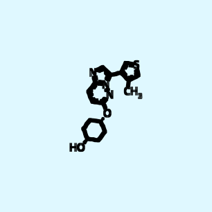 Cc1cscc1-c1cnc2ccc(O[C@H]3CC[C@H](O)CC3)nn12